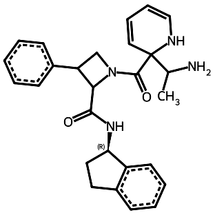 CC(N)C1(C(=O)N2CC(c3ccccc3)C2C(=O)N[C@@H]2CCc3ccccc32)C=CC=CN1